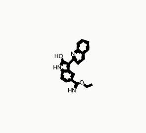 CCOC(=N)c1ccc2[nH]c(O)c(-c3ccc4ccccc4n3)c2c1